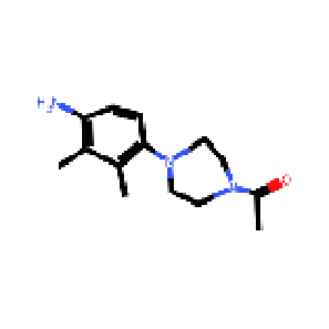 CC(=O)N1CCN(c2ccc(N)c(C)c2C)CC1